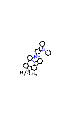 CC1(C)c2cccc3c2-c2c1ccc1c4ccccc4n(c21)-c1c(Nc2ccc4c5ccccc5n(-c5ccccc5)c4c2)cccc1-3